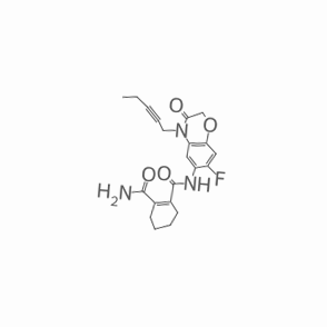 CCC#CCN1C(=O)COc2cc(F)c(NC(=O)C3=C(C(N)=O)CCCC3)cc21